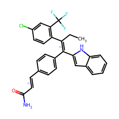 CC/C(=C(/c1ccc(/C=C/C(N)=O)cc1)c1cc2ccccc2[nH]1)c1ccc(Cl)cc1C(F)(F)F